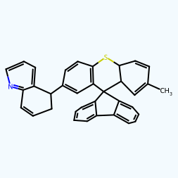 CC1=CC2C(C=C1)Sc1ccc(C3CC=Cc4ncccc43)cc1C21c2ccccc2-c2ccccc21